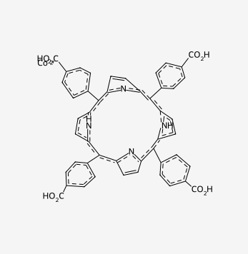 O=C(O)c1ccc(-c2c3nc(c(-c4ccc(C(=O)O)cc4)c4ccc([nH]4)c(-c4ccc(C(=O)O)cc4)c4nc(c(-c5ccc(C(=O)O)cc5)c5ccc2[nH]5)C=C4)C=C3)cc1.[Co+2]